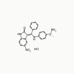 C[C@@H](N)c1ccc(NC(=C2C(=O)Nc3ccc([N+](=O)[O-])cc32)c2ccccc2)cc1.Cl